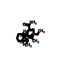 CCCC(C)N1C[C@H]2CCC[C@@H](C1)C2(OC)c1ccnc(C(N)=O)c1